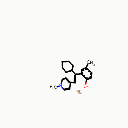 Br.Cc1ccc(O)c(C(=CC2=CCN(C)C=C2)C2CCCCC2)c1